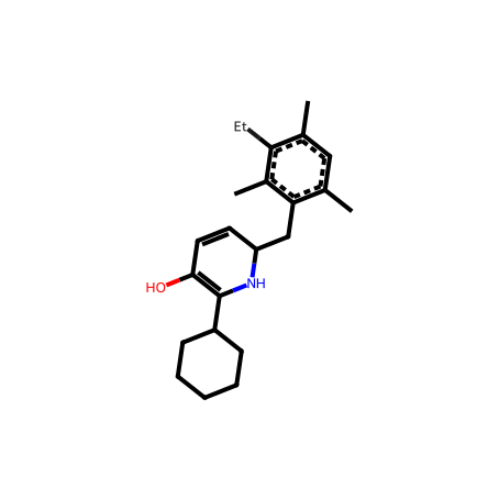 CCc1c(C)cc(C)c(CC2C=CC(O)=C(C3CCCCC3)N2)c1C